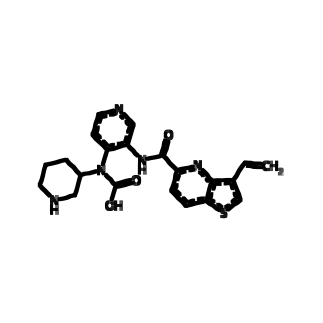 C=Cc1csc2ccc(C(=O)Nc3cnccc3N(C(=O)O)C3CCCNC3)nc12